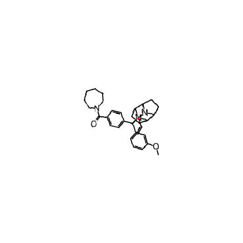 C=CCN1C2CCC1C1CCC2N1C(c1ccc(C(=O)N2CCCCCC2)cc1)c1cccc(OC)c1